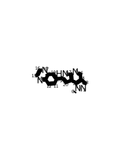 Cn1ncc2cnc3[nH]c(-c4ccc5nccnc5c4)cc3c21